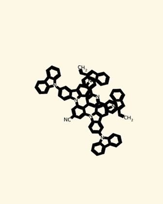 C=Cc1cc2ccccc2n1-c1ccc2c(c1)c1cc(-n3c4ccccc4c4ccccc43)ccc1n2-c1cc(C#N)cc(-n2c3ccc(-n4c(C=C)cc5ccccc54)cc3c3cc(-n4c5ccccc5c5ccccc54)ccc32)c1-c1cc(-c2ccccc2)nc(-c2ccccc2)c1